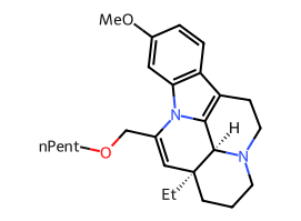 CCCCCOCC1=C[C@]2(CC)CCCN3CCc4c(n1c1cc(OC)ccc41)[C@@H]32